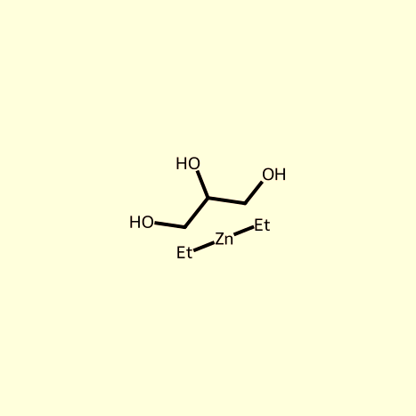 C[CH2][Zn][CH2]C.OCC(O)CO